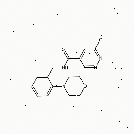 O=C(NCc1ccccc1N1CCOCC1)c1cnnc(Cl)c1